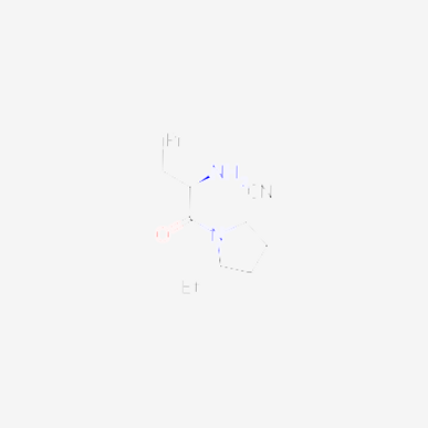 CC[C@H]1CC[C@@H](C#N)N1C(=O)[C@H](N)CC(C)C